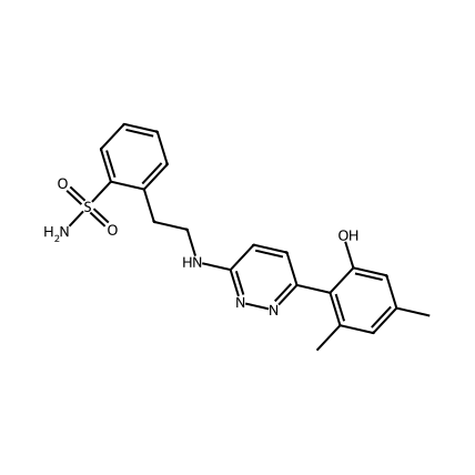 Cc1cc(C)c(-c2ccc(NCCc3ccccc3S(N)(=O)=O)nn2)c(O)c1